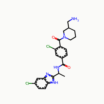 CC(NC(=O)c1ccc(C(=O)N2CCCC(CN)C2)c(Cl)c1)c1nc2cc(Cl)ccc2[nH]1